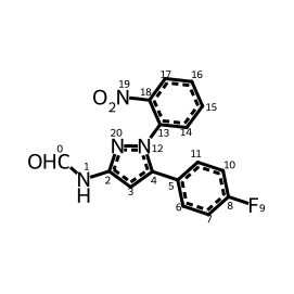 O=CNc1cc(-c2ccc(F)cc2)n(-c2ccccc2[N+](=O)[O-])n1